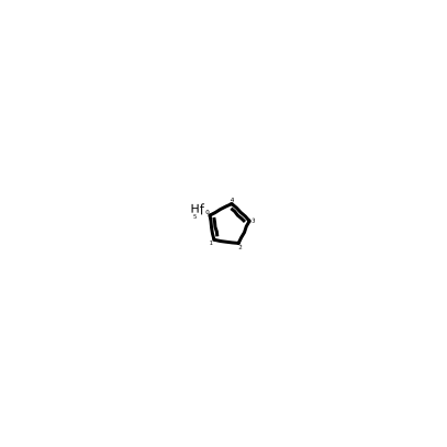 C1=CCC=C1.[Hf]